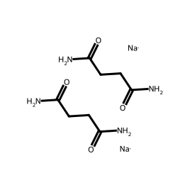 NC(=O)CCC(N)=O.NC(=O)CCC(N)=O.[Na].[Na]